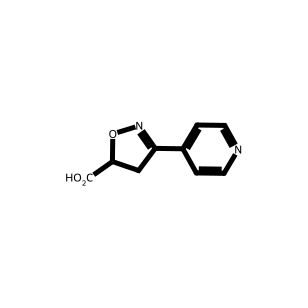 O=C(O)C1CC(c2ccncc2)=NO1